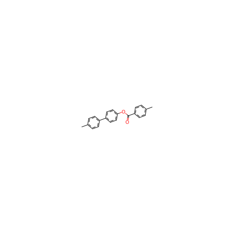 Cc1ccc(C(=O)Oc2ccc(-c3ccc(C)cc3)cc2)cc1